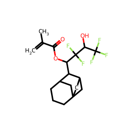 C=C(C)C(=O)OC(C1C2CCCC3(C2)CC1C3)C(F)(F)C(O)C(F)(F)F